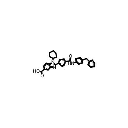 O=C(O)c1ccc2c(c1)nc(-c1ccc(C(=O)Nc3ccc(Cc4ccccc4)cc3)cc1)n2C1CCCCC1